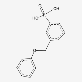 O=P(O)(O)c1cccc(COc2ccccc2)c1